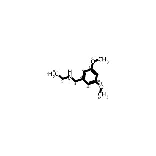 [CH2]CNCc1cc(OC)cc(OC)c1